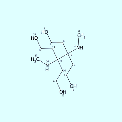 CNC(CCO)(CCO)C(CCO)(CCO)NC